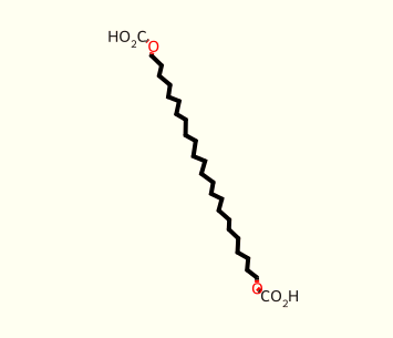 O=C(O)OCCCCCCCCCCCCCCCCCCCCCCCCOC(=O)O